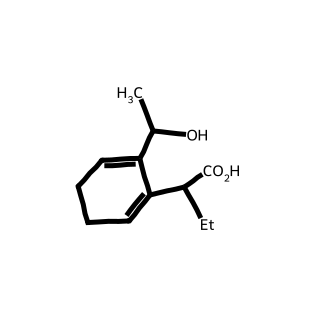 CCC(C(=O)O)C1=CCCC=C1C(C)O